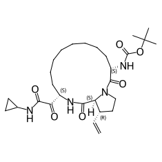 C=C[C@H]1CCN2C(=O)[C@@H](NC(=O)OC(C)(C)C)CCCCCCCC[C@@H](C(=O)C(=O)NC3CC3)NC(=O)[C@H]12